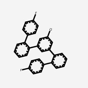 Fc1ccc(-c2ccccc2-c2cc(Cl)cc(-c3ccccc3-c3ccc(F)cc3)c2)cc1